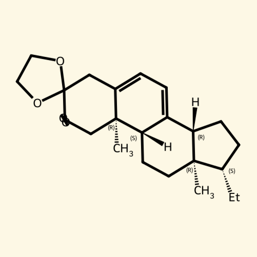 CC[C@H]1CC[C@H]2C3=CC=C4CC5(OCCO5)C5(C[C@]4(C)[C@H]3CC[C@]12C)OCCO5